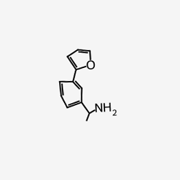 CC(N)c1cccc(-c2ccco2)c1